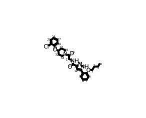 CCCCOc1ccccc1-c1cc(C(=O)NCC(=O)N2CCC(Oc3ccccc3Cl)CC2)n[nH]1